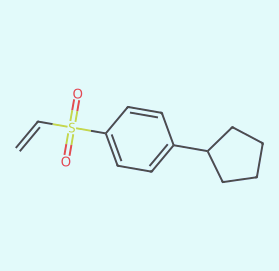 C=CS(=O)(=O)c1ccc(C2CCCC2)cc1